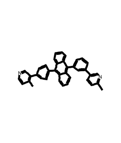 Cc1ccc(-c2cccc(-c3c4ccccc4c(-c4ccc(-c5cnccc5C)cc4)c4ccccc34)c2)cn1